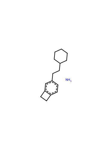 N.c1cc2c(cc1CCC1CCCCC1)CC2